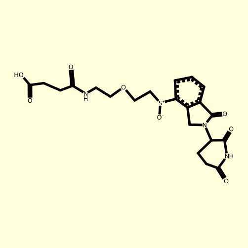 O=C(O)CCC(=O)NCCOCC[S+]([O-])c1cccc2c1CN(C1CCC(=O)NC1=O)C2=O